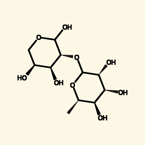 C[C@@H]1OC(O[C@H]2C(O)OC[C@H](O)[C@@H]2O)[C@H](O)[C@H](O)[C@H]1O